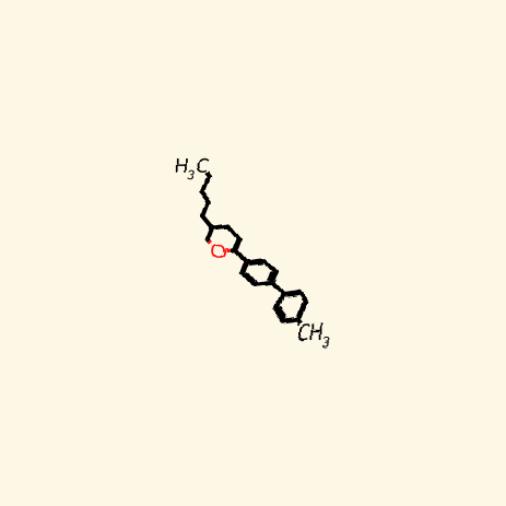 CCCCCC1CCC(c2ccc(-c3ccc(C)cc3)cc2)OC1